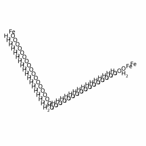 O.O.O.O.O.O.O.O.O.O.O.O.O.O.O.O.O.O.O.O.O.O.O.O.O.O.O.O.O.O.O.O.O.O.O.[Fe].[Fe].[Fe]